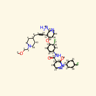 COCCN1CCC(CC#Cc2c(Oc3ccc(NC(=O)c4ccnn(-c5ccc(F)cc5)c4=O)cc3F)ccnc2N)CC1